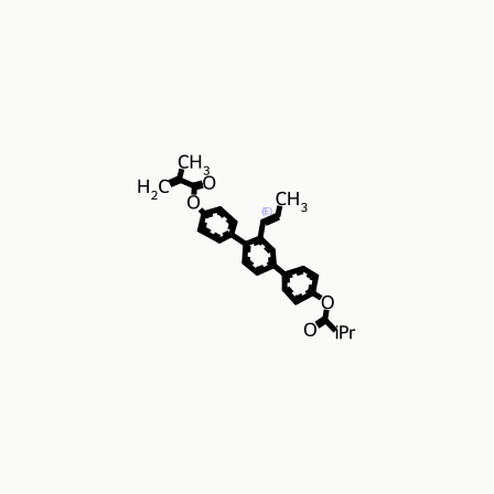 C=C(C)C(=O)Oc1ccc(-c2ccc(-c3ccc(OC(=O)C(C)C)cc3)cc2/C=C/C)cc1